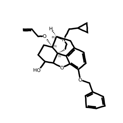 C=CCO[C@@]12CCC(O)C3Oc4c(OCc5ccccc5)ccc5c4[C@@]31CCN(CC1CC1)[C@@H]2C5